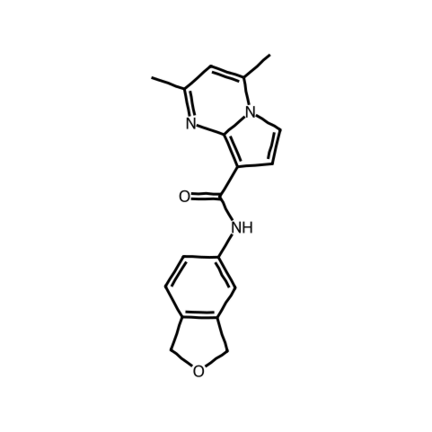 Cc1cc(C)n2ccc(C(=O)Nc3ccc4c(c3)COC4)c2n1